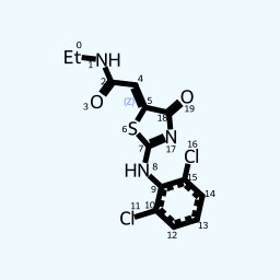 CCNC(=O)/C=C1\SC(Nc2c(Cl)cccc2Cl)=NC1=O